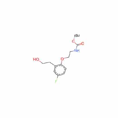 CC(C)(C)OC(=O)NCCOc1ccc(F)cc1CCO